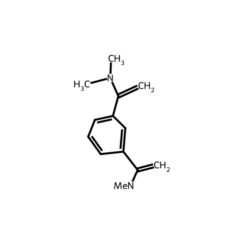 C=C(NC)c1cccc(C(=C)N(C)C)c1